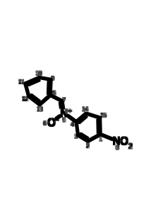 O=[N+]([O-])c1ccc([N+]([O-])=Cc2ccccc2)cc1